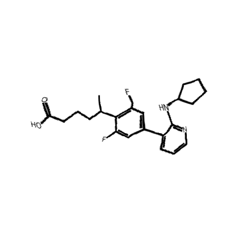 CC(CCCC(=O)O)c1c(F)cc(-c2cccnc2NC2CCCC2)cc1F